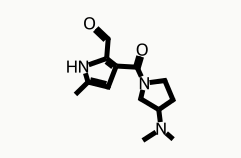 Cc1cc(C(=O)N2CCC(N(C)C)C2)c(C=O)[nH]1